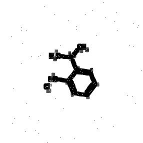 C[S+](C)c1ccccc1O.[Cl-]